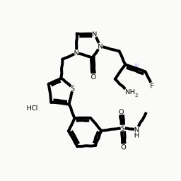 CNS(=O)(=O)c1cccc(-c2ccc(Cn3cnn(C/C(=C/F)CN)c3=O)s2)c1.Cl